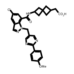 COc1ccc(-c2ncc(Cn3ncc4cc(Cl)cc(C(=O)NC5CC6(CC(CC(=O)O)C6)C5)c43)cn2)cc1